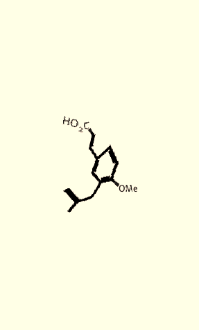 C=C(C)Cc1cc(/C=C/C(=O)O)ccc1OC